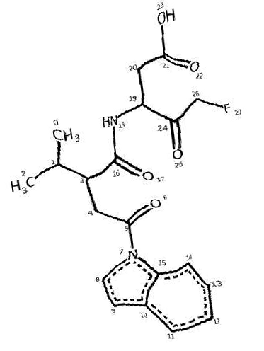 CC(C)C(CC(=O)n1ccc2ccccc21)C(=O)NC(CC(=O)O)C(=O)CF